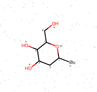 CCC(C)C1CC(O)C(O)C(CO)O1